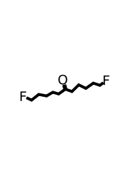 O=C(CCCCCF)CCCCCF